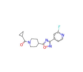 O=C(C1CC1)N1CCC(c2nc(-c3ccnc(F)c3)no2)CC1